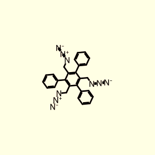 [N-]=[N+]=NCc1c(-c2ccccc2)c(CN=[N+]=[N-])c(-c2ccccc2)c(CN=[N+]=[N-])c1-c1ccccc1